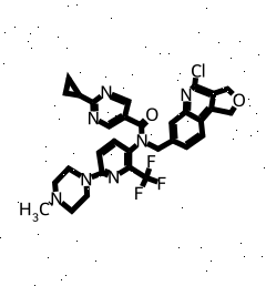 CN1CCN(c2ccc(N(Cc3ccc4c5c(c(Cl)nc4c3)COC5)C(=O)c3cnc(C4CC4)nc3)c(C(F)(F)F)n2)CC1